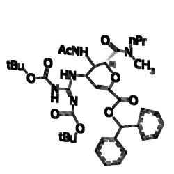 CCCN(C)C(=O)[C@@H]1OC(C(=O)OC(c2ccccc2)c2ccccc2)=CC(NC(=NC(=O)OC(C)(C)C)NC(=O)OC(C)(C)C)C1NC(C)=O